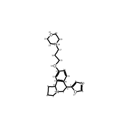 c1ncc(C2CN3CCCC3c3cc(OCCCN4CCOCC4)ccc32)o1